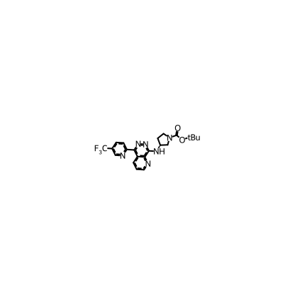 CC(C)(C)OC(=O)N1CC[C@H](Nc2nnc(-c3ccc(C(F)(F)F)cn3)c3cccnc23)C1